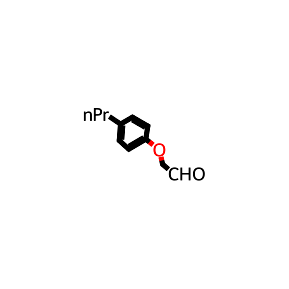 CCCc1ccc(OCC=O)cc1